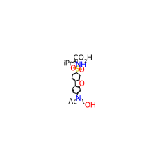 CC(=O)N(CCO)c1ccc2c(c1)oc1cc(S(=O)(=O)N[C@H](C(=O)O)C(C)C)ccc12